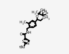 Cc1cc(C2COC(C)(C)C(C)(C)O2)ccc1CNC(=O)c1cnc(C(C)(C)C)s1